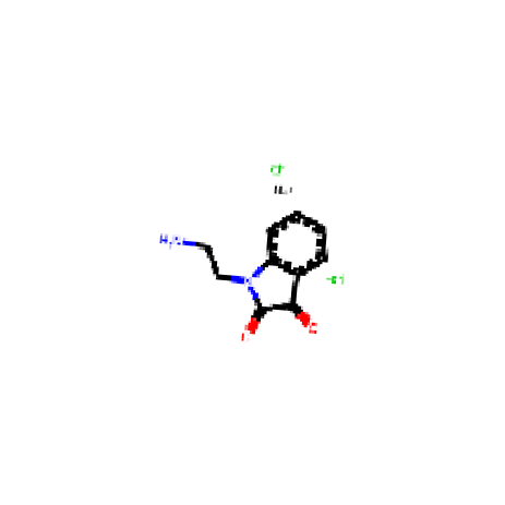 Cl.NCCN1C(=O)C(=O)c2ccccc21.[Cl-].[Na+]